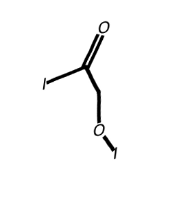 O=C(I)COI